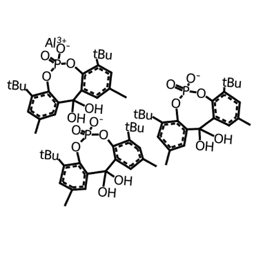 Cc1cc(C(C)(C)C)c2c(c1)C(O)(O)c1cc(C)cc(C(C)(C)C)c1OP(=O)([O-])O2.Cc1cc(C(C)(C)C)c2c(c1)C(O)(O)c1cc(C)cc(C(C)(C)C)c1OP(=O)([O-])O2.Cc1cc(C(C)(C)C)c2c(c1)C(O)(O)c1cc(C)cc(C(C)(C)C)c1OP(=O)([O-])O2.[Al+3]